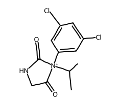 CC(C)[N+]1(c2cc(Cl)cc(Cl)c2)C(=O)CNC1=O